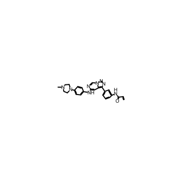 C=CC(=O)Nc1cccc(-c2nnn3cnc(Nc4ccc(N5CCN(C)CC5)cc4)cc23)c1